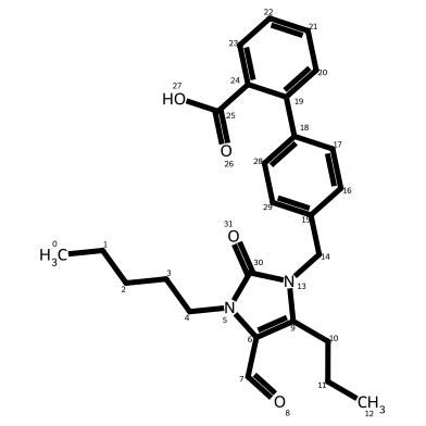 CCCCCn1c(C=O)c(CCC)n(Cc2ccc(-c3ccccc3C(=O)O)cc2)c1=O